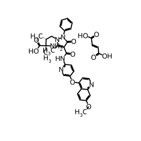 COc1ccc2c(Oc3ccc(NC(=O)c4c(C)n(C[C@@H](C)[C@](C)(N)C(=O)O)n(-c5ccccc5)c4=O)nc3)ccnc2c1.O=C(O)C=CC(=O)O